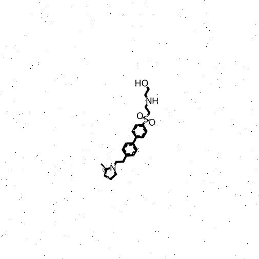 C[C@@H]1CCCN1CCc1ccc(-c2ccc(S(=O)(=O)CCNCCO)cc2)cc1